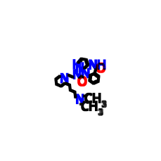 CCN(CC)CCCCC1CCCCN1CCNC(=O)N1c2ccccc2C(=O)Nc2cccnc21